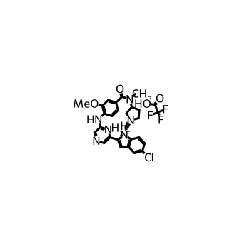 COc1cc(C(=O)N(C)C2CCN(C)C2)ccc1Nc1cncc(-c2cc3cc(Cl)ccc3[nH]2)n1.O=C(O)C(F)(F)F